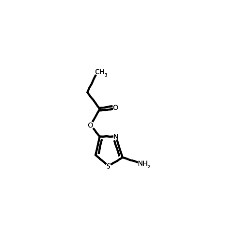 CCC(=O)Oc1csc(N)n1